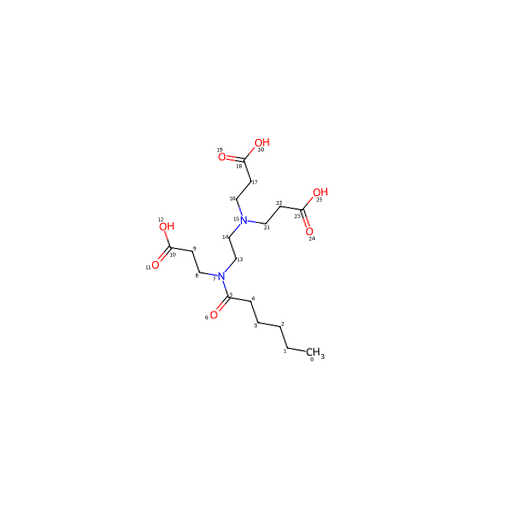 CCCCCC(=O)N(CCC(=O)O)CCN(CCC(=O)O)CCC(=O)O